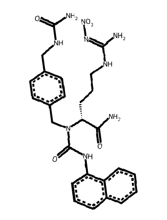 NC(=O)NCc1ccc(CN(C(=O)Nc2cccc3ccccc23)[C@H](CCCNC(N)=N[N+](=O)[O-])C(N)=O)cc1